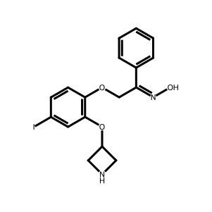 O/N=C(/COc1ccc(I)cc1OC1CNC1)c1ccccc1